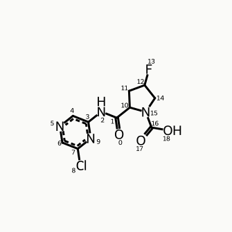 O=C(Nc1cncc(Cl)n1)C1CC(F)CN1C(=O)O